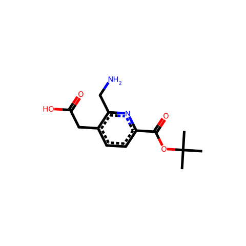 CC(C)(C)OC(=O)c1ccc(CC(=O)O)c(CN)n1